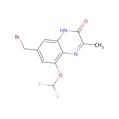 Cc1nc2c(OC(F)F)cc(CBr)cc2[nH]c1=O